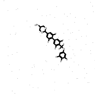 CCCC1COC(c2cc(F)c(-c3cc(F)c(C(F)(F)Oc4cc(F)c(F)c(F)c4)c(F)c3)c(F)c2)OC1